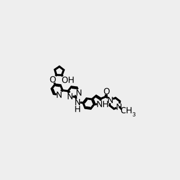 CN1CCN(C(=O)c2cc3cc(Nc4nccc(-c5cc(OC6CCCC6O)ccn5)n4)ccc3[nH]2)CC1